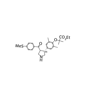 CCOC(=O)C(C)(C)Oc1c(C)cc([C@@H]2CNCC2C(=O)c2ccc(SC)cc2)cc1C